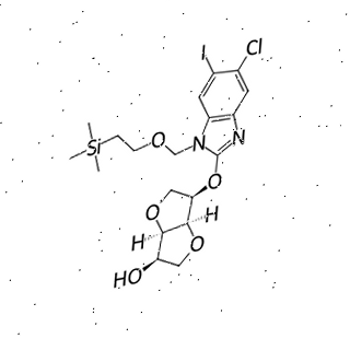 C[Si](C)(C)CCOCn1c(O[C@@H]2CO[C@H]3[C@@H]2OC[C@H]3O)nc2cc(Cl)c(I)cc21